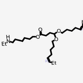 CC/C=C\CCCCOC(CCC(=O)OCCCCCCNCC)OCCCC/C=C\CC